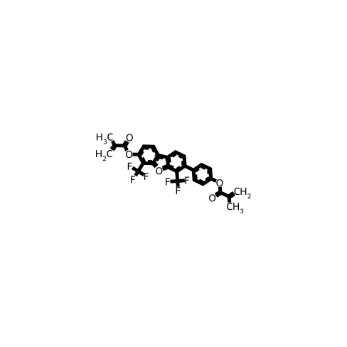 C=C(C)C(=O)Oc1ccc(-c2ccc3c(oc4c(C(F)(F)F)c(OC(=O)C(=C)C)ccc43)c2C(F)(F)F)cc1